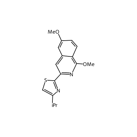 COc1ccc2c(OC)nc(-c3nc(C(C)C)cs3)cc2c1